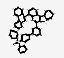 O=P(c1ccccc1)(c1ccccc1)c1ccc(-c2cccc(-c3nc4c(-c5cc6ccccc6c6ccccc56)cccc4c4c3sc3ccccc34)c2)cc1